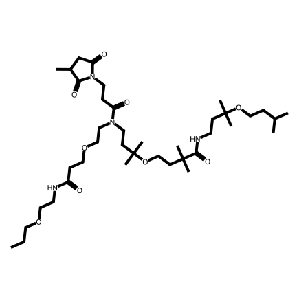 CCCOCCNC(=O)CCOCCN(CCC(C)(C)OCCC(C)(C)C(=O)NCCC(C)(C)OCCC(C)C)C(=O)CCN1C(=O)CC(C)C1=O